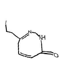 O=c1ccc(CI)n[nH]1